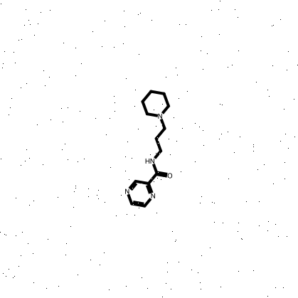 O=C(NCCCN1CCCCC1)c1cnccn1